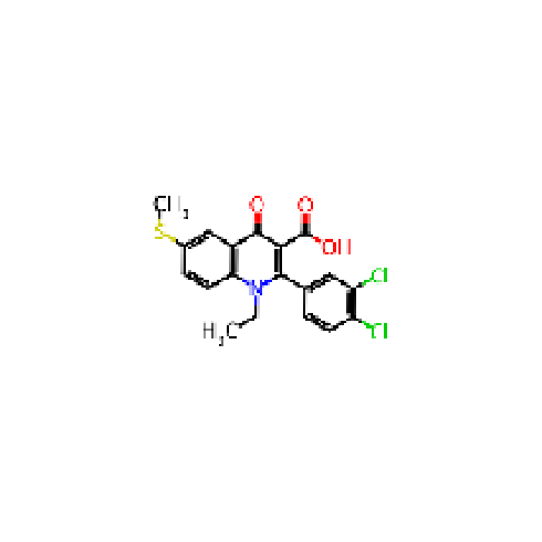 CCn1c(-c2ccc(Cl)c(Cl)c2)c(C(=O)O)c(=O)c2cc(SC)ccc21